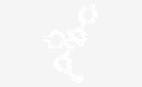 O=C(O)c1cccc(NC2(c3nnc(-c4ccncc4)[nH]3)CCNCC2)c1